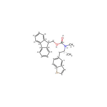 C[C@H](Cc1ccc2sccc2c1)N(C)C(=O)OCC1c2ccccc2-c2ccccc21